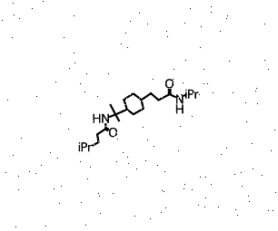 CC(C)CCC(=O)NC(C)(C)C1CCC(CCC(=O)NC(C)C)CC1